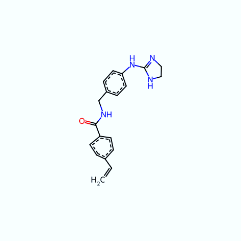 C=Cc1ccc(C(=O)NCc2ccc(NC3=NCCN3)cc2)cc1